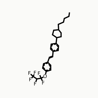 CCCCCC1CCC(c2ccc(C=Cc3ccc(OC(F)(F)C(F)C(F)(F)F)cc3)cc2)CC1